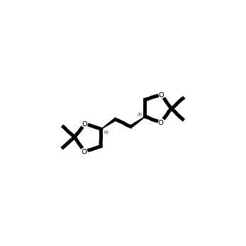 CC1(C)OC[C@H](CC[C@H]2COC(C)(C)O2)O1